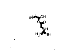 CC(C)CC(O)OC(=O)CNC(=N)N